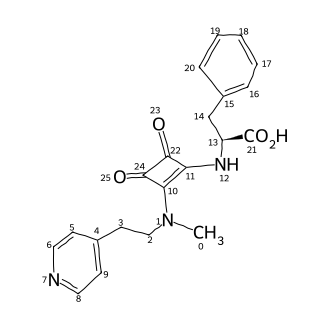 CN(CCc1ccncc1)c1c(N[C@@H](Cc2ccccc2)C(=O)O)c(=O)c1=O